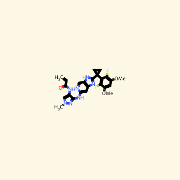 C=CC(=O)Nc1cn(C)nc1Nc1cc2nc(C3(c4c(F)c(OC)cc(OC)c4F)CC3)[nH]c2cn1